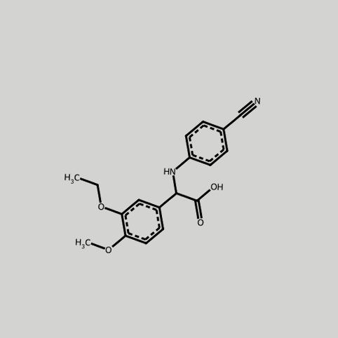 CCOc1cc(C(Nc2ccc(C#N)cc2)C(=O)O)ccc1OC